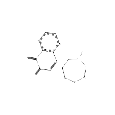 O=C(O)N1CCCCCN1.O=C1C=Cc2ccccc2C1=O